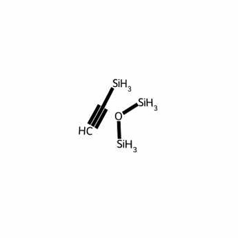 C#C[SiH3].[SiH3]O[SiH3]